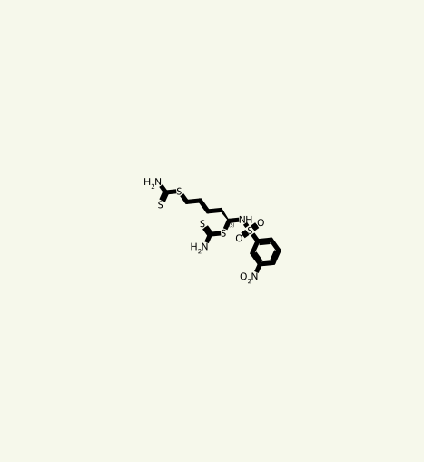 NC(=S)SCCCC[C@@H](NS(=O)(=O)c1cccc([N+](=O)[O-])c1)SC(N)=S